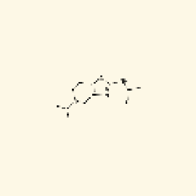 CC(=O)Nc1nc2c(s1)CCN(C(C)C)C2